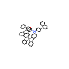 c1ccc(-c2ccc(N(c3ccc(-c4cccc5ccccc45)cc3)c3ccc4c(c3)C3(c5ccccc5-4)c4ccccc4-c4c3cc3c5c(cccc45)-c4ccccc4-3)cc2)cc1